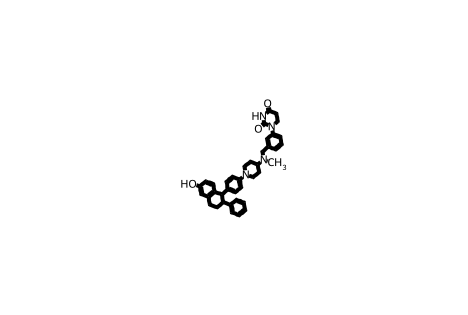 CN(Cc1cccc(N2CCC(=O)NC2=O)c1)C1CCN(c2ccc(C3c4ccc(O)cc4CCC3c3ccccc3)cc2)CC1